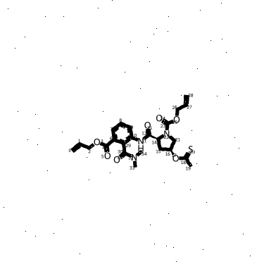 C=CCOC(=O)c1cccc(NC(=O)[C@@H]2C[C@H](OC(C)=S)CN2C(=O)OCC=C)c1C(=O)N(C)C